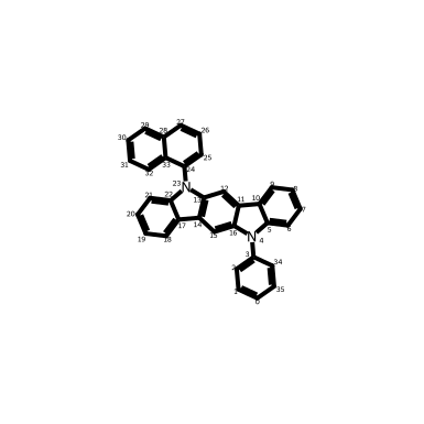 c1ccc(-n2c3ccccc3c3cc4c(cc32)c2ccccc2n4-c2cccc3ccccc23)cc1